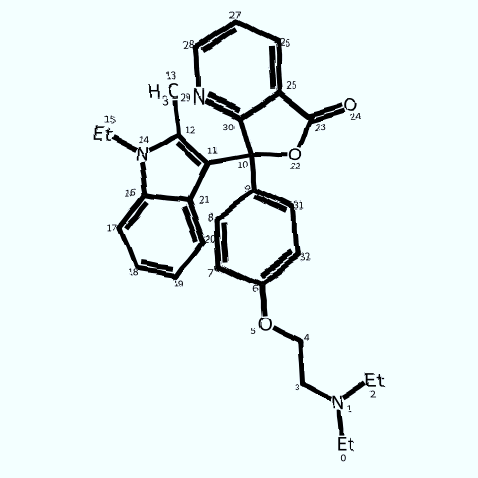 CCN(CC)CCOc1ccc(C2(c3c(C)n(CC)c4ccccc34)OC(=O)c3cccnc32)cc1